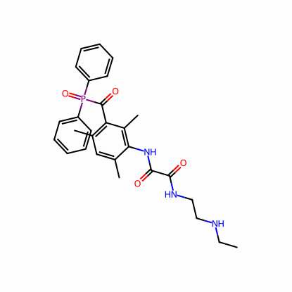 CCNCCNC(=O)C(=O)Nc1c(C)cc(C)c(C(=O)P(=O)(c2ccccc2)c2ccccc2)c1C